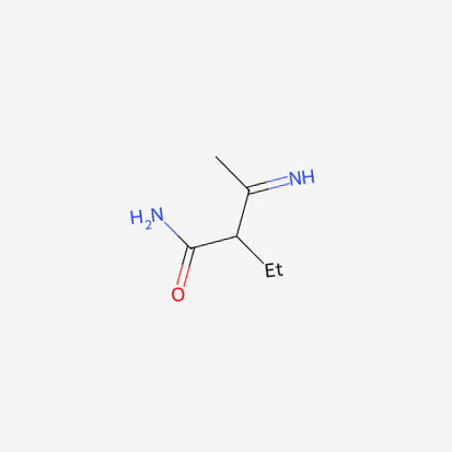 CCC(C(C)=N)C(N)=O